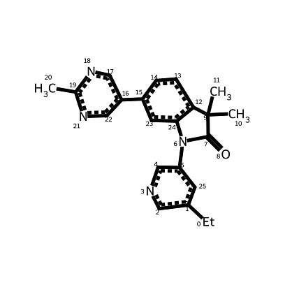 CCc1cncc(N2C(=O)C(C)(C)c3ccc(-c4cnc(C)nc4)cc32)c1